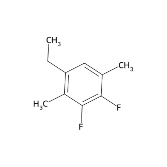 CCc1cc(C)c(F)c(F)c1C